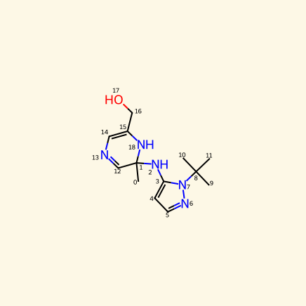 CC1(Nc2ccnn2C(C)(C)C)C=NC=C(CO)N1